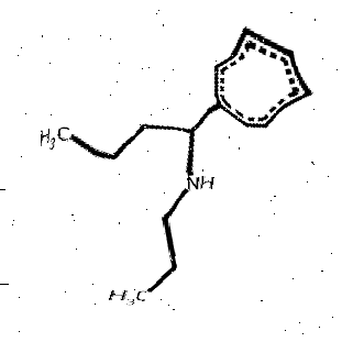 CCCNC(CCC)c1ccccc1